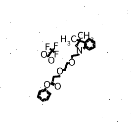 CC1(C)C=[N+](CCOCCOCCC(=O)Oc2ccccc2)c2ccccc21.O=C([O-])C(F)(F)F